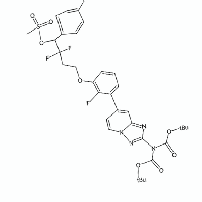 CC(C)(C)OC(=O)N(C(=O)OC(C)(C)C)c1nc2cc(-c3cccc(OCCC(F)(F)C(OS(C)(=O)=O)c4ccc(F)cc4)c3F)ccn2n1